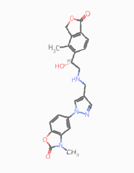 Cc1c([C@@H](O)CNCc2cnn(-c3ccc4oc(=O)n(C)c4c3)c2)ccc2c1COC2=O